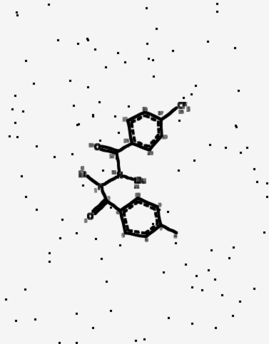 CCN(C(=O)c1ccc(C)cc1)N(C(=O)c1ccc(C(F)(F)F)cc1)C(C)(C)C